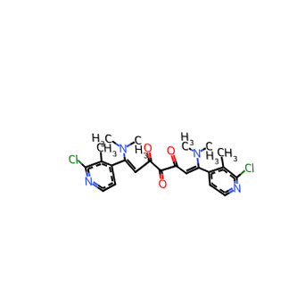 Cc1c(C(=CC(=O)C(=O)C(=O)C=C(c2ccnc(Cl)c2C)N(C)C)N(C)C)ccnc1Cl